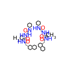 C[C@H](NC(=O)Cc1ccc2ccccc2c1)C(=O)NCC(=O)Nc1ccccc1.C[C@H](NC(=O)Cc1cccc2ccccc12)C(=O)NCC(=O)Nc1ccccc1